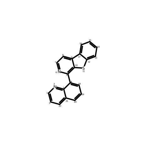 c1cnc2c(-c3nccc4c3sc3ccccc34)cccc2c1